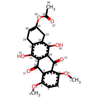 COc1ccc(OC)c2c1C(=O)c1c(O)c3c(c(O)c1C2=O)CC(OC(C)=O)=CC3